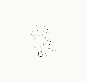 CC(C)(C)OC(=O)N1Cc2cccc(N3CCOCC3)c2C[C@@H]1CN(CCCCNC(N)=O)[C@H]1CCCc2cccnc21.NCCCCN(C[C@H]1Cc2c(cccc2N2CCOCC2)CN1C(=O)O)[C@H]1CCCc2cccnc21